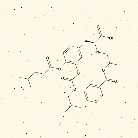 CC(C)COC(=O)Oc1ccc(C[C@H](NCC(C)OC(=O)c2ccccc2)C(=O)O)cc1OC(=O)OCC(C)C